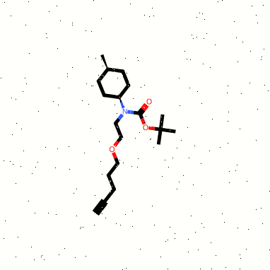 C#CCCCOCCN(C(=O)OC(C)(C)C)[C@H]1CC[C@@H](C)CC1